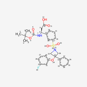 CC(C)(C)OC(=O)N[C@@H](CC(=O)O)c1cccc(S(=O)(=O)N2CC(Oc3cccc(F)c3)(c3ccccc3)C2)c1